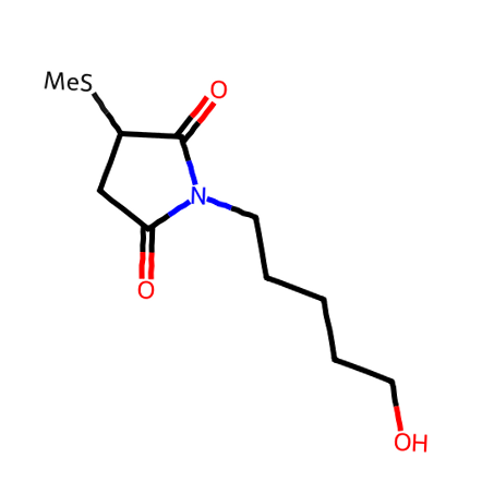 CSC1CC(=O)N(CCCCCO)C1=O